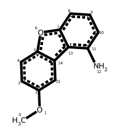 COc1ccc2oc3cccc(N)c3c2c1